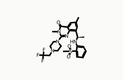 Cc1cc([C@@H](C)Nc2ccccc2S(C)(=O)=O)c2nc(N3CCN(CC(F)(F)F)CC3)n(C)c(=O)c2c1